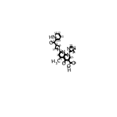 Cc1cc(N2CC(C(=O)C3=CC=CCN3)C2)nc2c1c(=O)c(C(=O)O)cn2-c1ncns1